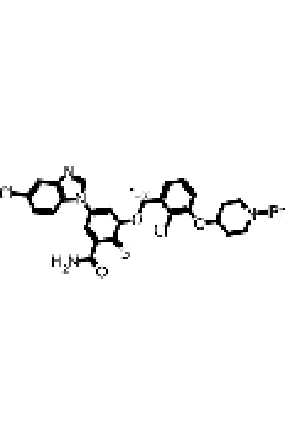 CC(C)N1CCC(Oc2cccc([C@@H](C)OC3C=C(n4cnc5cc(Cl)ccc54)C=C(C(N)=O)C3=S)c2Cl)CC1